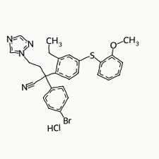 CCc1cc(Sc2ccccc2OC)ccc1C(C#N)(CCn1cncn1)c1ccc(Br)cc1.Cl